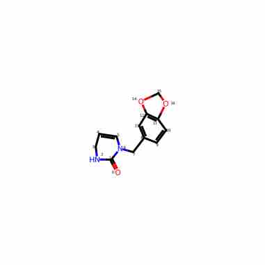 O=C1NCC=CN1Cc1ccc2c(c1)OCO2